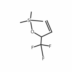 C=CC(O[Si](C)(C)C)C(F)(F)F